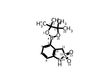 CC1(C)OB(c2cccc3c2CS(=O)(=O)N3)OC1(C)C